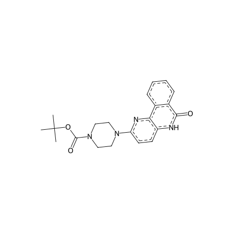 CC(C)(C)OC(=O)N1CCN(c2ccc3[nH]c(=O)c4ccccc4c3n2)CC1